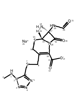 CNn1nnnc1SCC1=C(C(=O)[O-])N2C(=O)[C@](N)(NC=O)[C@H]2SC1.[Na+]